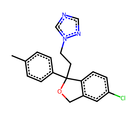 Cc1ccc(C2(CCn3cncn3)OCc3cc(Cl)ccc32)cc1